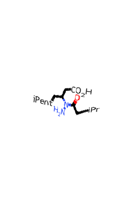 CCCC(C)CC(CC(=O)O)N(N)C(=O)CC(C)C